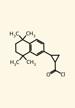 CC1(C)CCC(C)(C)c2cc(C3CC3C(=O)Cl)ccc21